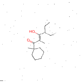 CCC(CC)/C(O)=C(\C)C(=O)C1(C)CCCCC1